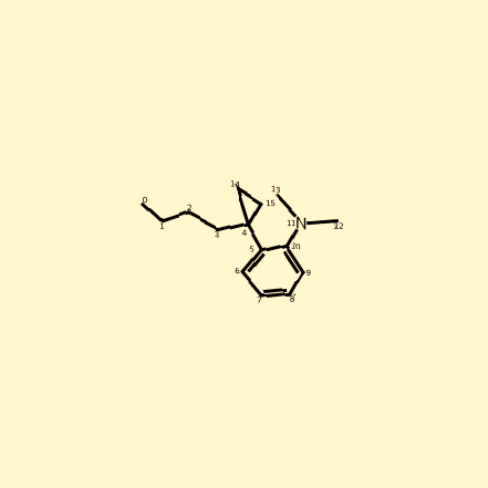 CCCCC1(c2cc[c]cc2N(C)C)CC1